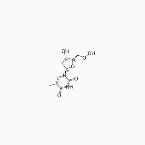 Cc1cn([C@H]2C[C@H](O)[C@@H](COO)O2)c(=O)[nH]c1=O